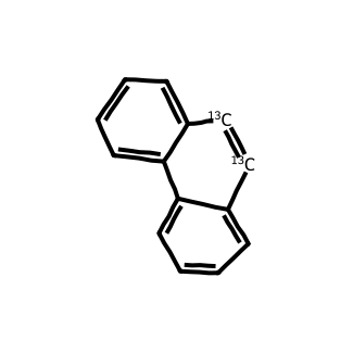 c1ccc2c(c1)[13cH][13cH]c1ccccc12